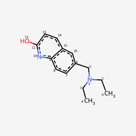 CCN(CC)Cc1ccc2nc(O)ccc2c1